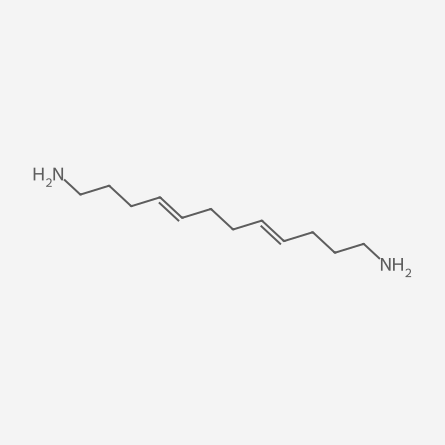 NCCCC=CCCC=CCCCN